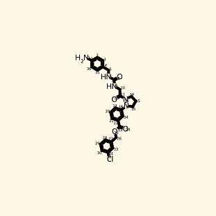 Nc1ccc(CNC(=O)NCC(=O)N2CCCN2c2cccc(C(=O)OCc3cccc(Cl)c3)c2)cc1